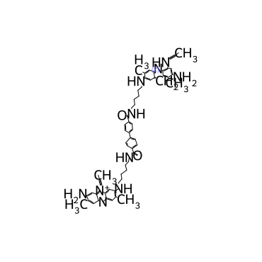 C=C1C=C(NCCCCCCNC(=O)c2ccc(-c3ccc(C(=O)NCCCCCCNc4cc5c(cc4C)nc4cc(C)c(N)cc4[n+]5C#CC)cc3)cc2)C(C)=C/C1=N/c1cc(C)c(N)cc1NC#CC